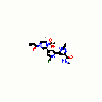 C=CC(=O)N1C[C@H](C)N(S(C)(=O)=O)[C@H](c2cc(Cl)nc(-c3cc(C(=O)NC)nc(C)n3)c2)C1